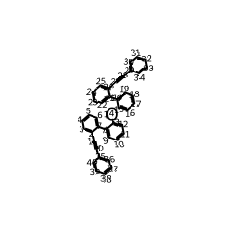 C(#Cc1ccccc1-c1ccccc1Oc1ccccc1-c1ccccc1C#Cc1ccccc1)c1ccccc1